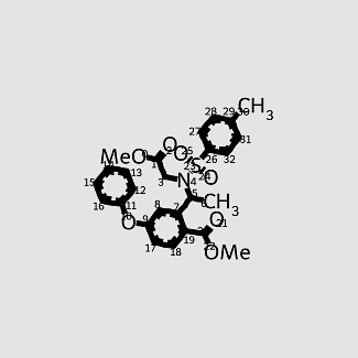 COC(=O)CN(C(C)c1cc(Oc2ccccc2)ccc1C(=O)OC)S(=O)(=O)c1ccc(C)cc1